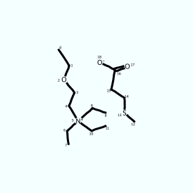 CCOCC[N+](CC)(CC)CC.CSCCC(=O)[O-]